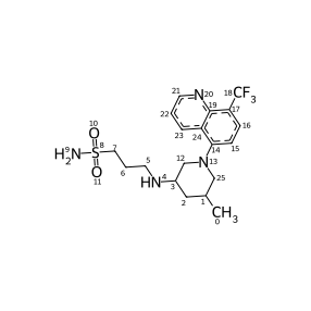 CC1CC(NCCCS(N)(=O)=O)CN(c2ccc(C(F)(F)F)c3ncccc23)C1